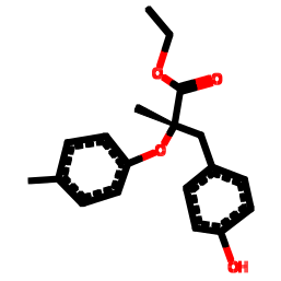 CCOC(=O)[C@](C)(Cc1ccc(O)cc1)Oc1ccc(C)cc1